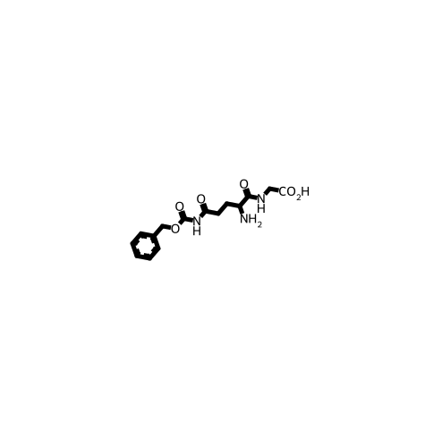 NC(CCC(=O)NC(=O)OCc1ccccc1)C(=O)NCC(=O)O